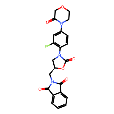 O=C1c2ccccc2C(=O)N1C[C@H]1CN(c2ccc(N3CCOCC3=O)cc2F)C(=O)O1